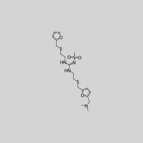 CN(C)Cc1ccc(CSCCNC(=NS(C)(=O)=O)NCCSCc2ccco2)o1